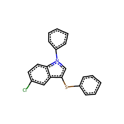 Clc1ccc2c(c1)c(Sc1ccccc1)cn2-c1ccccc1